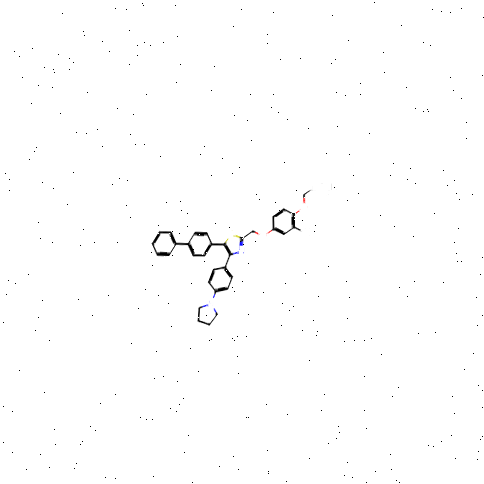 Cc1cc(OCc2nc(-c3ccc(N4CCCC4)cc3)c(-c3ccc(-c4ccccc4)cc3)s2)ccc1OCC(=O)O